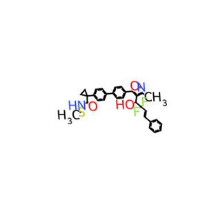 CSNC(=O)C1(c2ccc(-c3ccc(-c4onc(C)c4C(O)C(F)(F)/C=C/c4ccccc4)cc3)cc2)CC1